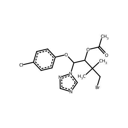 CC(=O)OC(C(Oc1ccc(Cl)cc1)n1cncn1)C(C)(C)CBr